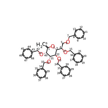 C=C1O[C@H]([C@@H](COCc2ccccc2)OCc2ccccc2)[C@@H](OCc2ccccc2)[C@H](OCc2ccccc2)[C@@H]1OCc1ccccc1